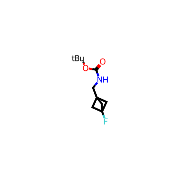 CC(C)(C)OC(=O)NCC12CC(F)(C1)C2